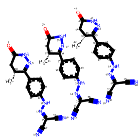 C[C@@H]1CC(=O)NN=C1c1ccc(NN=C(C#N)C#N)cc1.C[C@@H]1CC(=O)NN=C1c1ccc(NN=C(C#N)C#N)cc1.C[C@@H]1CC(=O)NN=C1c1ccc(NN=C(C#N)C#N)cc1